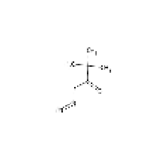 CC(C)(C)C(=O)CN=N